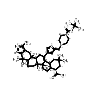 CC1(C)CC2C3=C(c4coc(CN5CCN(C(=O)OC(C)(C)C)CC5)c4)CC4C5(C)Cc6c(n[nH]c6N)C(C)(C)C5CCC4(C)C3(C)CCC2[C@H](C(=O)O)C1